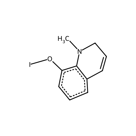 CN1CC=Cc2cccc(OI)c21